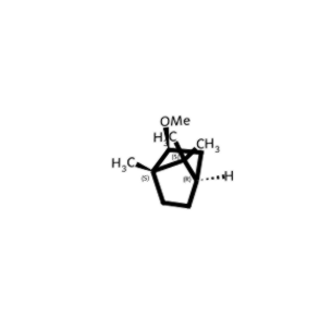 CO[C@H]1C[C@H]2CC[C@@]1(C)C2(C)C